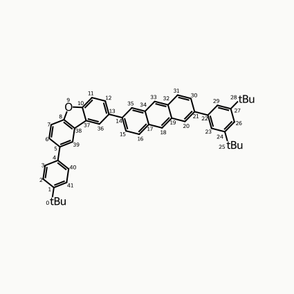 CC(C)(C)c1ccc(-c2ccc3oc4ccc(-c5ccc6cc7cc(-c8cc(C(C)(C)C)cc(C(C)(C)C)c8)ccc7cc6c5)cc4c3c2)cc1